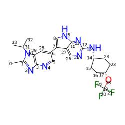 Cc1nc2ncc(-c3c[nH]c4nc(N[C@H]5CC[C@@H](OC(F)(F)F)CC5)ncc34)cc2n1C(C)C